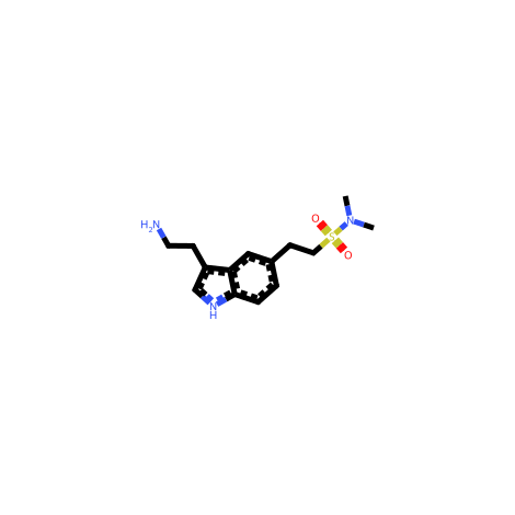 CN(C)S(=O)(=O)CCc1ccc2[nH]cc(CCN)c2c1